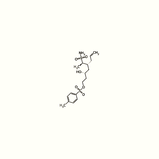 C=CC[C@H](C[C@@H](O)CCOS(=O)(=O)c1ccc(C)cc1)[C@@H](C)S(N)(=O)=O